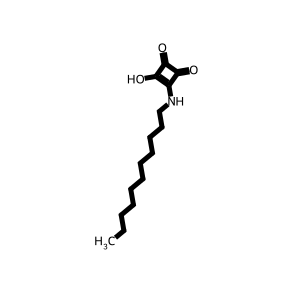 CCCCCCCCCCCNc1c(O)c(=O)c1=O